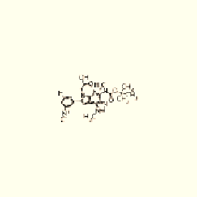 [C-]#[N+]c1cc(F)cc(-c2cc3c4c(ncn4C)c(N(C)C(=O)OC(C)(C)C)nc3n2CC(=O)O)c1